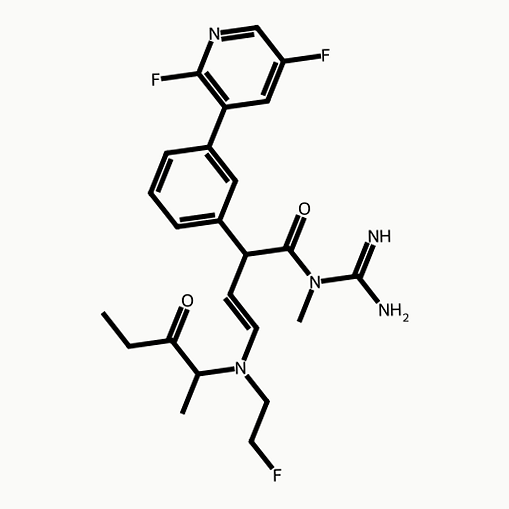 CCC(=O)C(C)N(/C=C/C(C(=O)N(C)C(=N)N)c1cccc(-c2cc(F)cnc2F)c1)CCF